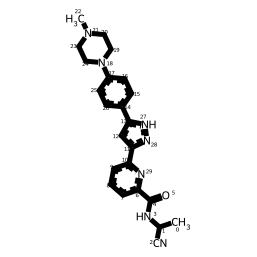 CC(C#N)NC(=O)c1cccc(-c2cc(-c3ccc(N4CCN(C)CC4)cc3)[nH]n2)n1